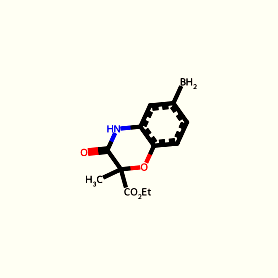 Bc1ccc2c(c1)NC(=O)C(C)(C(=O)OCC)O2